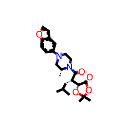 CC(C)C[C@H](C(=O)N1CCN(c2ccc3occc3c2)C[C@H]1C)[C@@H]1OC(C)(C)OC1=O